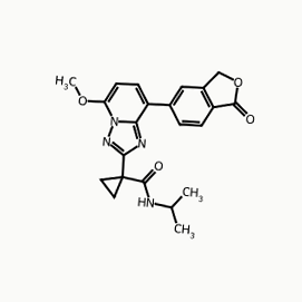 COc1ccc(-c2ccc3c(c2)COC3=O)c2nc(C3(C(=O)NC(C)C)CC3)nn12